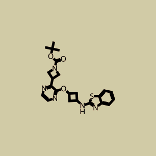 CC(C)(C)OC(=O)N1CC(c2nccnc2OC2CC(Nc3nc4ccccc4s3)C2)C1